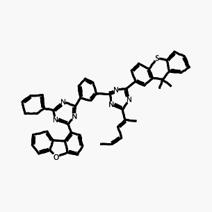 C/C=C\C=C(/C)c1nc(-c2cccc(-c3nc(C4=CC=CCC4)nc(-c4cccc5oc6ccccc6c45)n3)c2)nc(-c2ccc3c(c2)C(C)(C)c2ccccc2S3)n1